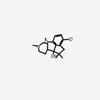 COc1ccc(Cl)c2c1C(O)(C1CCN(C)CC1)C(C)(C)C2